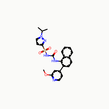 COc1cc(-c2ccc3ccccc3c2NC(=O)NS(=O)(=O)c2ccn(C(C)C)n2)ccn1